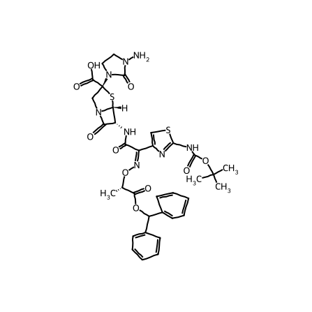 C[C@H](O/N=C(\C(=O)N[C@@H]1C(=O)N2C[C@@](C(=O)O)(N3CCN(N)C3=O)S[C@H]12)c1csc(NC(=O)OC(C)(C)C)n1)C(=O)OC(c1ccccc1)c1ccccc1